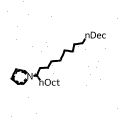 CCCCCCCCCCCCCCCCCCC(CCCCCCCC)[n+]1ccccc1